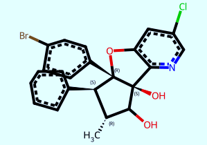 C[C@H]1C(O)[C@@]2(O)c3ncc(Cl)cc3O[C@@]2(c2ccc(Br)cc2)[C@@H]1c1ccccc1